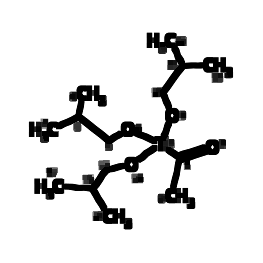 C[C](=O)[Ti]([O]CC(C)C)([O]CC(C)C)[O]CC(C)C